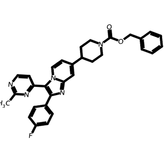 Cc1nccc(-c2c(-c3ccc(F)cc3)nc3cc(C4CCN(C(=O)OCc5ccccc5)CC4)ccn23)n1